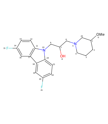 COC1CCCN(CC(O)Cn2c3ccc(F)cc3c3cc(F)ccc32)C1